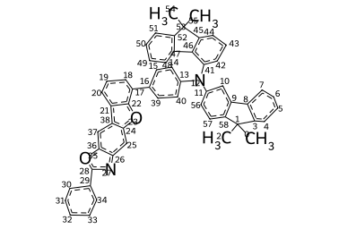 CC1(C)c2ccccc2-c2cc(N(c3ccc(-c4cccc5c4oc4cc6nc(-c7ccccc7)oc6cc45)cc3)c3cccc4c3-c3ccccc3C4(C)C)ccc21